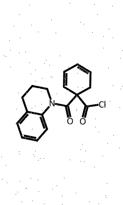 O=C(Cl)C1(C(=O)N2CCCc3ccccc32)C=CC=CC1